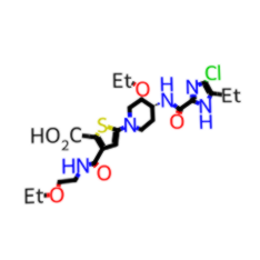 CCOCCNC(=O)c1cc(N2CC[C@@H](NC(=O)c3nc(Cl)c(CC)[nH]3)[C@@H](OCC)C2)sc1C(=O)O